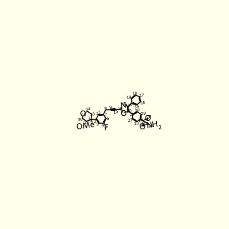 COC1(c2cc(F)cc(CC#Cc3nc(-c4ccccc4)c(-c4ccc(S(N)(=O)=O)cc4)o3)c2)CCOCC1